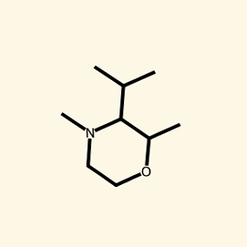 CC(C)C1C(C)OCCN1C